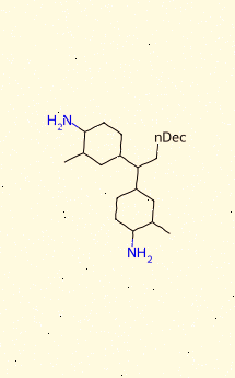 CCCCCCCCCCCC(C1CCC(N)C(C)C1)C1CCC(N)C(C)C1